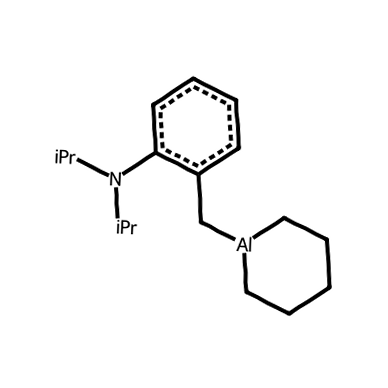 CC(C)N(c1ccccc1[CH2][Al]1[CH2]CCC[CH2]1)C(C)C